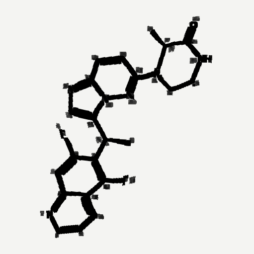 C[C@@H](c1c(F)cc2ncccc2c1F)c1cnc2ccc(N3CCNC(=O)[C@@H]3C)nn12